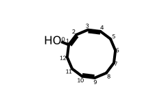 OC1=CC=CCCCCC=CCC1